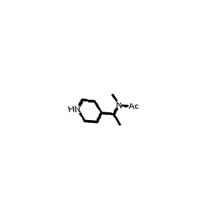 CC(=O)N(C)C(C)C1CCNCC1